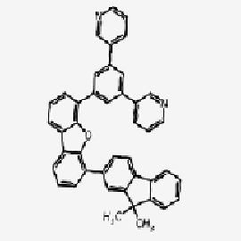 CC1(C)c2ccccc2-c2ccc(-c3cccc4c3oc3c(-c5cc(-c6cccnc6)cc(-c6cccnc6)c5)cccc34)cc21